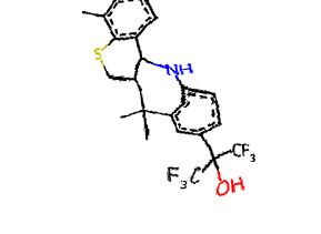 Cc1cccc2c1SCC1C2Nc2ccc(C(O)(C(F)(F)F)C(F)(F)F)cc2C1(C)C